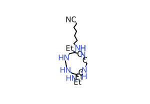 CCNC1(CC)CNCCNCC(CC)(NCCCCCCC#N)CNCCNC1